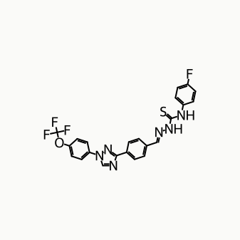 Fc1ccc(NC(=S)N/N=C/c2ccc(-c3ncn(-c4ccc(OC(F)(F)F)cc4)n3)cc2)cc1